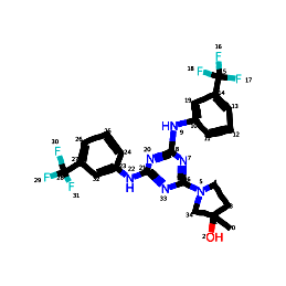 CC1(O)CCN(c2nc(Nc3cccc(C(F)(F)F)c3)nc(Nc3cccc(C(F)(F)F)c3)n2)C1